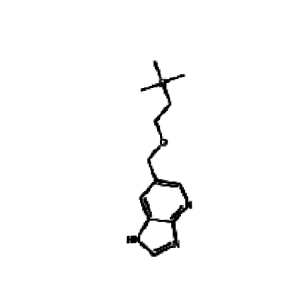 C[Si](C)(C)CCOCc1cnc2nc[nH]c2c1